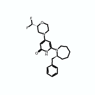 O=c1cc(N2CCO[C@@H](C(F)F)C2)cc(N2CCCCC[C@H]2Cc2ccccc2)[nH]1